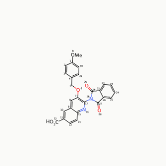 COc1ccc(COc2cc3cc(C(=O)O)ccc3nc2N2C(=O)c3ccccc3C2=O)cc1